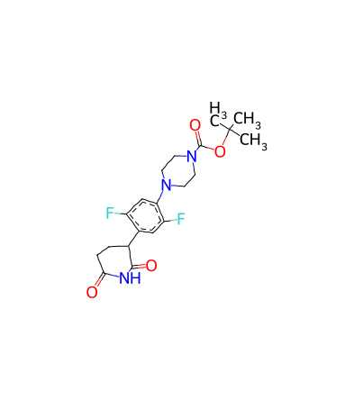 CC(C)(C)OC(=O)N1CCN(c2cc(F)c(C3CCC(=O)NC3=O)cc2F)CC1